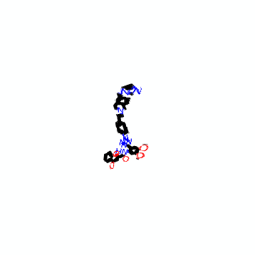 COc1cc(NC(=O)c2cc(=O)c3ccccc3o2)c(-c2nnn(-c3ccc(CCN4CCc5cc(Cn6ccnc6)ccc5C4)cc3)n2)cc1OC